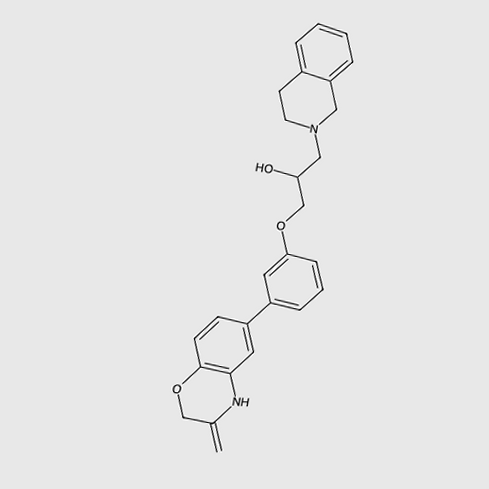 C=C1COc2ccc(-c3cccc(OCC(O)CN4CCc5ccccc5C4)c3)cc2N1